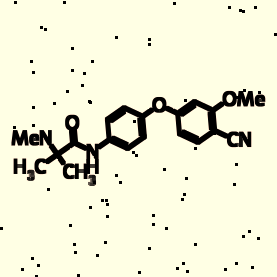 CNC(C)(C)C(=O)Nc1ccc(Oc2ccc(C#N)c(OC)c2)cc1